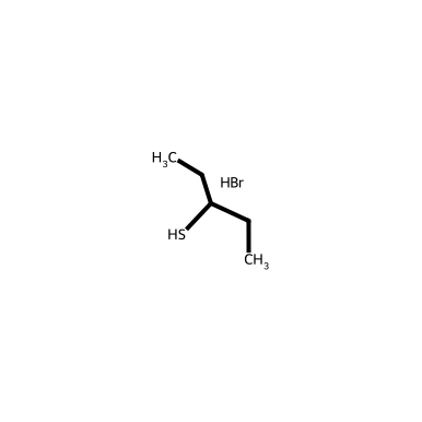 Br.CCC(S)CC